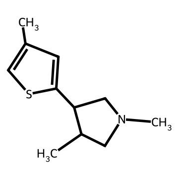 Cc1csc(C2CN(C)CC2C)c1